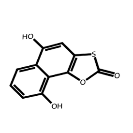 O=c1oc2c(cc(O)c3cccc(O)c32)s1